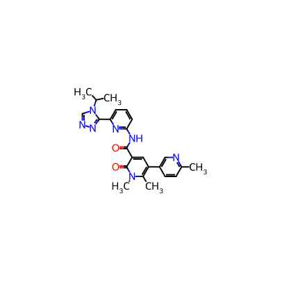 Cc1ccc(-c2cc(C(=O)Nc3cccc(-c4nncn4C(C)C)n3)c(=O)n(C)c2C)cn1